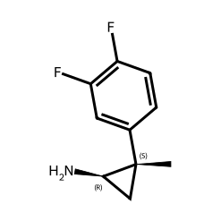 C[C@@]1(c2ccc(F)c(F)c2)C[C@H]1N